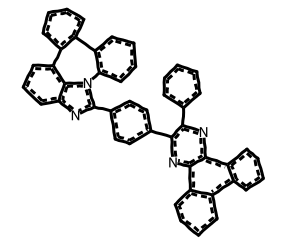 c1ccc(-c2nc3c4ccccc4c4ccccc4c3nc2-c2ccc(-c3nc4cccc5c4n3-c3ccccc3-c3ccccc3-5)cc2)cc1